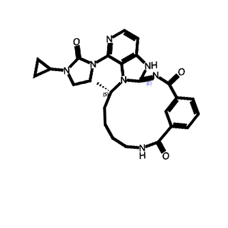 C[C@H]1CCCCNC(=O)c2cccc(c2)C(=O)/N=C2\Nc3ccnc(N4CCN(C5CC5)C4=O)c3N21